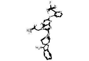 NC(=O)Cn1c(N2CCC3(CC2)Cc2ccccc2C3N)nc2nc(Sc3cccnc3C(F)(F)F)cnc21